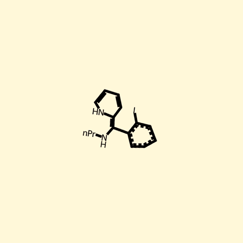 CCCN/C(=C1/C=CC=CN1)c1ccccc1I